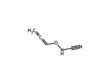 C=C=CONC#N